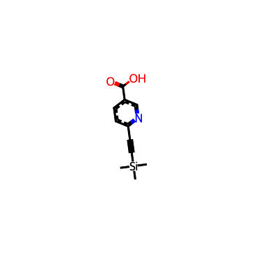 C[Si](C)(C)C#Cc1ccc(C(=O)O)cn1